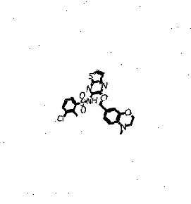 Cc1c(Cl)cccc1S(=O)(=O)Nc1nc2sccc2nc1OCc1ccc2c(c1)OCCN2C